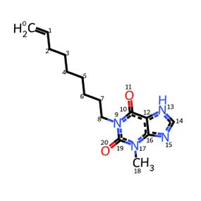 C=CCCCCCCCn1c(=O)c2[nH]cnc2n(C)c1=O